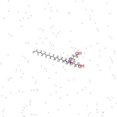 CCCCCCCCCCCCCCCC=CN(OCCCO)OCCCO